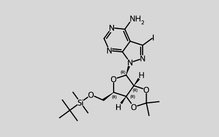 CC1(C)O[C@@H]2[C@H](O1)[C@@H](CO[Si](C)(C)C(C)(C)C)O[C@H]2n1nc(I)c2c(N)ncnc21